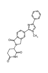 Cn1cc(-c2ccccc2)nc1-c1ccc2c(c1)CN(C1CCC(=O)NC1=O)C2=O